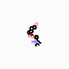 CCCC(NC(CC)CC)c1cccc(OCC[C@]23CCC4C5CCC(=O)C=C5C[C@@H](C)C4C2CC[C@@H]3O)c1